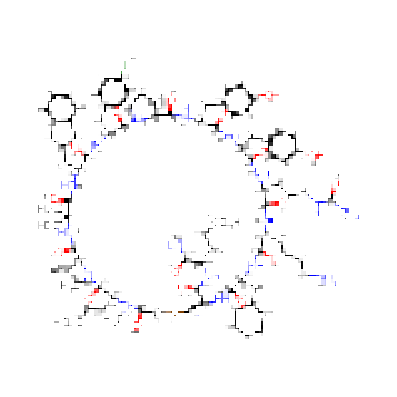 CCCC[C@H]1C(=O)NC(C)(C)C(=O)N[C@@H](CC2Cc3ccccc3C2)C(=O)N[C@@H](Cc2ccc(F)cc2)C(=O)N2CCC[C@H]2C(=O)N[C@@H](Cc2ccc(O)cc2)C(=O)N[C@@H](Cc2ccc(O)cc2)C(=O)N[C@@H](CCCNC(N)=O)C(=O)N[C@H](CCCCN)C(=O)N[C@@H](CC2CCCCC2)C(=O)N/C(C(=O)N[C@H](CCC(=O)O)C(N)=O)=C/SCC(=O)N(C)[C@@H](CCC(=O)O)C(=O)N1C